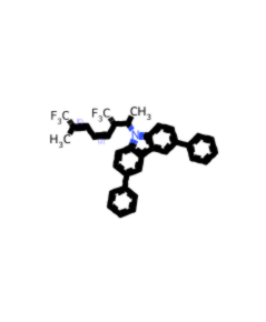 C/C(=C\C=C/C(C(C)n1c2ccc(-c3ccccc3)cc2c2cc(-c3ccccc3)ccc21)C(F)(F)F)C(F)(F)F